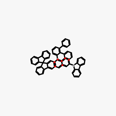 c1ccc(-c2ccccc2-c2c(-c3ccccc3)cccc2N(c2ccc(-n3c4ccccc4c4ccccc43)cc2)c2ccc3c(c2)C2(c4ccccc4-c4ccccc42)c2ccccc2-3)cc1